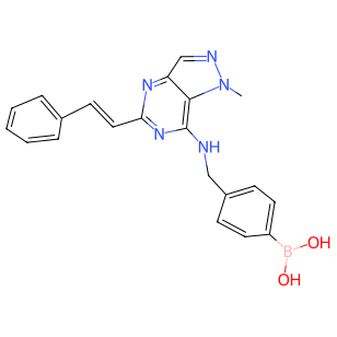 Cn1ncc2nc(C=Cc3ccccc3)nc(NCc3ccc(B(O)O)cc3)c21